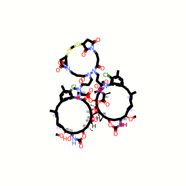 CO[C@@H]1/C=C/C=C(\C)Cc2cc(C)c(Cl)c(c2)N(C)C(=O)C[C@H](OOC(=O)[C@H](C)N(C)C(=O)CCN2C(=O)CCN3C(=O)CC(SCSC4CC(=O)N(CCC(=O)N2CCC(=O)N(C)[C@@H](C)C(=O)O[C@H]2CC(=O)N(C)c5cc(cc(C)c5Cl)C/C(C)=C/C=C/[C@@H](OC)[C@@]5(O)CC(OC(=O)N5)[C@@H](C)[C@H]5O[C@@]25C)C4=O)C3=O)[C@]2(C)O[C@@H]2[C@H](C)C2C[C@@]1(O)NC(=O)O2